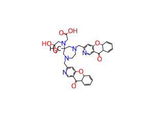 CC1(N(CC(=O)O)CC(=O)O)CN(Cc2cc3c(cn2)C(=O)C2C=CC=CC2O3)CCN(Cc2cc3c(cn2)C(=O)C2C=CC=CC2O3)C1